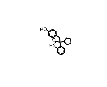 O=C1Nc2ccccc2C1(Cc1ccc(O)cc1)C1CCCC1